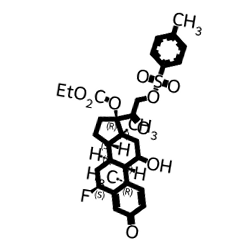 CCOC(=O)O[C@]1(C(=O)COS(=O)(=O)c2ccc(C)cc2)CC[C@H]2[C@@H]3C[C@H](F)C4=CC(=O)C=C[C@]4(C)[C@H]3C(O)C[C@@]21C